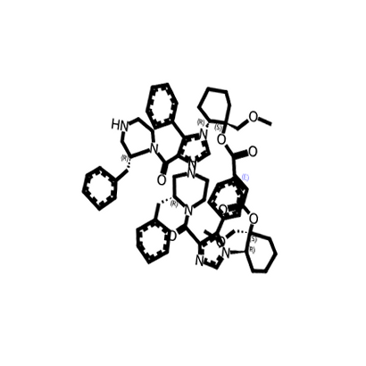 COC[C@]1(OC(=O)/C=C/C(=O)O[C@@]2(COC)CCCC[C@H]2n2cnc(C(=O)N3CCNC[C@H]3Cc3ccccc3)c2-c2ccccc2)CCCC[C@H]1n1cnc(C(=O)N2CCNC[C@H]2Cc2ccccc2)c1-c1ccccc1